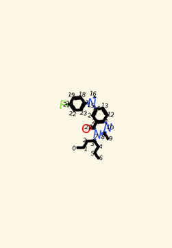 CCCC(CCC)n1c(C)nc2ccc(N(C)c3ccc(F)cc3)cc2c1=O